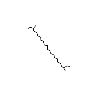 [CH2]CC(C)CCCCCCC[CH]CCCCCCCCCC(C)CC